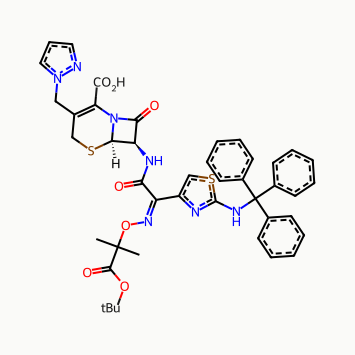 CC(C)(C)OC(=O)C(C)(C)O/N=C(\C(=O)N[C@@H]1C(=O)N2C(C(=O)O)=C(Cn3cccn3)CS[C@H]12)c1csc(NC(c2ccccc2)(c2ccccc2)c2ccccc2)n1